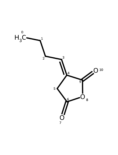 CCC/C=C1\CC(=O)OC1=O